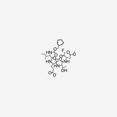 CCC(C)C(NC(=O)OCc1ccccc1)C(=O)NC(CCC(=O)OC)C(=O)NC(C(=O)NC(CC(=O)OC)C(=O)CF)C(C)O